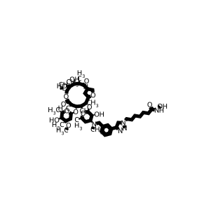 CC[C@H]1OC(=O)[C@H](C)[C@@H](O[C@H]2C[C@@](C)(OC)[C@@H](O)[C@H](C)O2)[C@H](C)[C@@H](O[C@@H]2O[C@H](C)C[C@H](N(C)Cc3cccc(C4CN(CCCCCCC(=O)NO)N=N4)c3)[C@H]2O)[C@@]2(C)C[C@@H](CO2)C(=O)[C@H](C)[C@@H](O)[C@]1(C)O